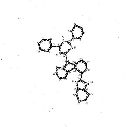 c1ccc(-c2nc(-c3ccccc3)nc(-n3c4ccccc4c4c(-c5nc6ccccc6s5)cccc43)n2)cc1